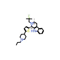 CCCN1CCC(c2ccc([C@@H]3c4[nH]c5ccccc5c4C[C@@H](C)N3CC(C)(C)F)s2)CC1